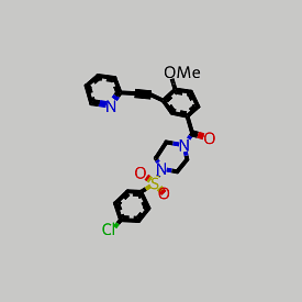 COc1ccc(C(=O)N2CCN(S(=O)(=O)c3ccc(Cl)cc3)CC2)cc1C#Cc1ccccn1